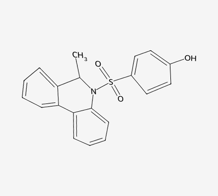 CC1c2ccccc2-c2ccccc2N1S(=O)(=O)c1ccc(O)cc1